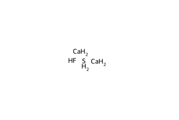 F.S.[CaH2].[CaH2]